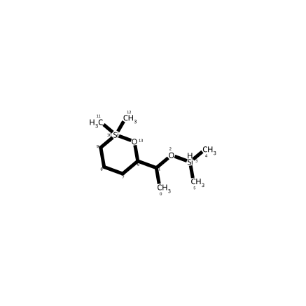 CC(O[SiH](C)C)C1CCC[Si](C)(C)O1